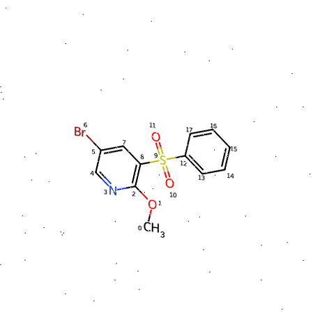 COc1ncc(Br)cc1S(=O)(=O)c1ccccc1